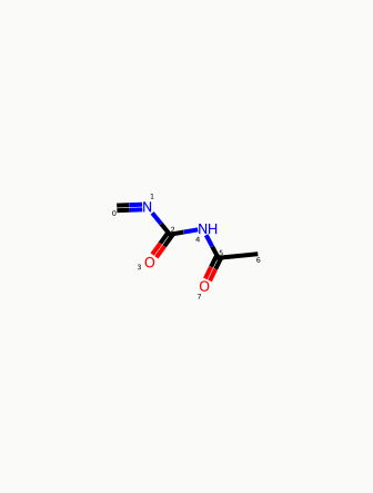 C=NC(=O)NC(C)=O